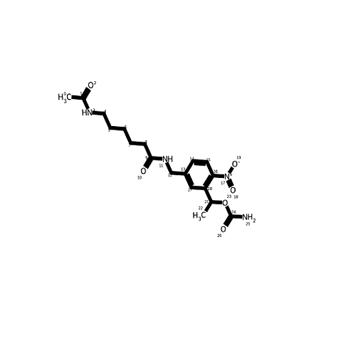 CC(=O)NCCCCCC(=O)NCc1ccc([N+](=O)[O-])c(C(C)OC(N)=O)c1